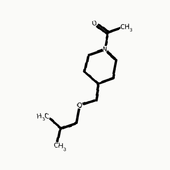 CC(=O)N1CCC(COCC(C)C)CC1